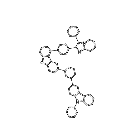 c1ccc(-c2c(-c3ccc(-c4cccc5oc6ccc(-c7cccc(-c8ccc9c(c8)c8ccccc8n9-c8ccccc8)c7)cc6c45)cc3)nc3ccccn23)cc1